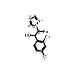 OC(c1ccc(Cl)cc1Cl)C(F)n1cncn1